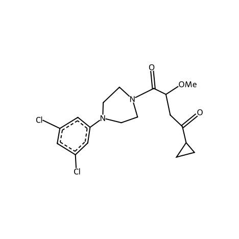 COC(CC(=O)C1CC1)C(=O)N1CCN(c2cc(Cl)cc(Cl)c2)CC1